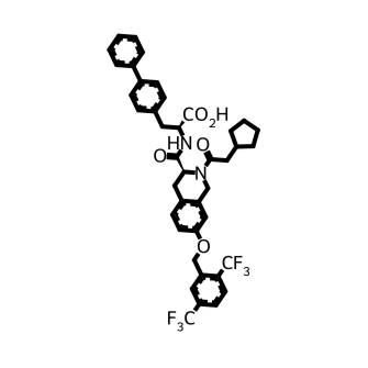 O=C(O)[C@H](Cc1ccc(-c2ccccc2)cc1)NC(=O)[C@@H]1Cc2ccc(OCc3cc(C(F)(F)F)ccc3C(F)(F)F)cc2CN1C(=O)CC1CCCC1